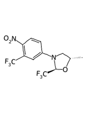 [CH2][C@H]1CN(c2ccc([N+](=O)[O-])c(C(F)(F)F)c2)[C@H](C(F)(F)F)O1